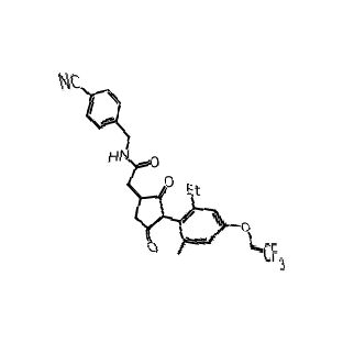 CCc1cc(OCC(F)(F)F)cc(C)c1C1C(=O)CC(CC(=O)NCc2ccc(C#N)cc2)C1=O